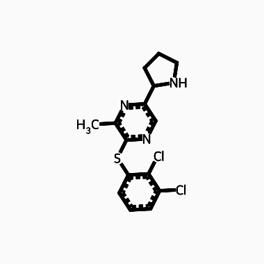 Cc1nc(C2CCCN2)cnc1Sc1cccc(Cl)c1Cl